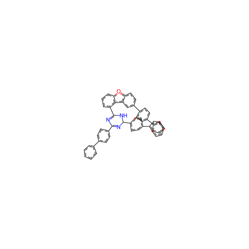 c1ccc(-c2ccc(C3=NC(c4ccc(-c5ccccc5)cc4)NC(c4cccc5oc6ccc(-c7ccc(-c8ccccc8)cc7)cc6c45)=N3)cc2)cc1